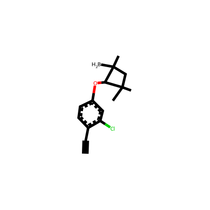 BC1(C)CC(C)(C)C1Oc1ccc(C#C)c(Cl)c1